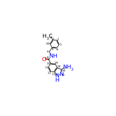 Cc1cccc(CNC(=O)c2ccc3[nH]nc(N)c3c2)c1